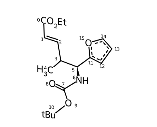 CCOC(=O)C=CC(C)[C@H](NC(=O)OC(C)(C)C)c1ccco1